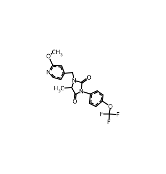 COc1cc(CN2C(=O)N(c3ccc(OC(F)(F)F)cc3)C(=O)C2C)ccn1